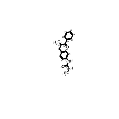 CNC(=O)Nc1ccc(CC(C)C(=O)c2ccccc2)cc1